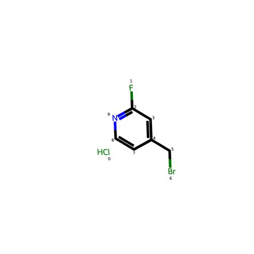 Cl.Fc1cc(CBr)ccn1